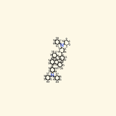 C1=CCCC(N(C2=CCC(c3cccc4c3-c3ccccc3C43c4ccccc4-c4c(-c5ccc(N(c6ccccc6)c6ccccc6)cc5)cccc43)C=C2)c2ccccc2)=C1